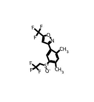 Cc1cc(C)c([S+]([O-])CC(F)(F)F)cc1-c1cc(C(F)(F)F)on1